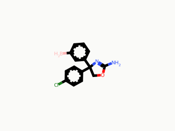 Bc1cccc(C2(c3ccc(Cl)cc3)COC(N)=N2)c1